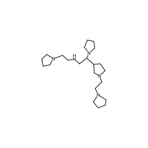 C1CCN(CCNCC(C2CCN(CCN3CCCC3)C2)N2CCCC2)C1